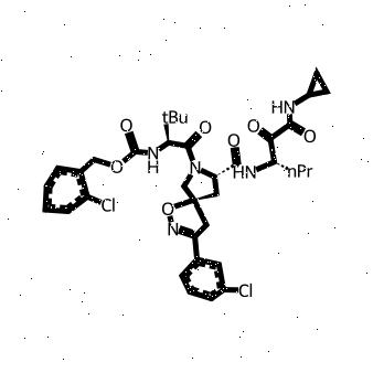 CCC[C@H](NC(=O)[C@@H]1C[C@]2(CC(c3cccc(Cl)c3)=NO2)CN1C(=O)[C@@H](NC(=O)OCc1ccccc1Cl)C(C)(C)C)C(=O)C(=O)NC1CC1